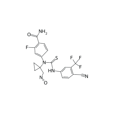 N#Cc1ccc(NC(=S)N(c2ccc(C(N)=O)c(F)c2)C2(CN=O)CC2)cc1C(F)(F)F